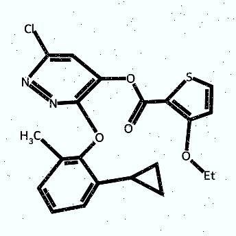 CCOc1ccsc1C(=O)Oc1cc(Cl)nnc1Oc1c(C)cccc1C1CC1